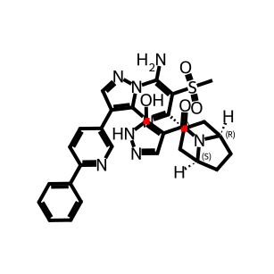 CS(=O)(=O)c1c([C@@H]2C[C@H]3CC[C@@H](C2)N3C(=O)c2cn[nH]c2O)nc2c(-c3ccc(-c4ccccc4)nc3)cnn2c1N